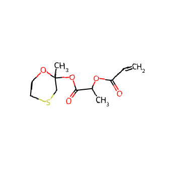 C=CC(=O)OC(C)C(=O)OC1(C)CSCCO1